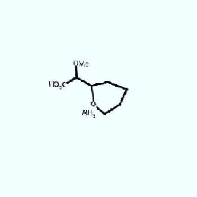 COC(C(=O)O)C1CCCCO1.[AlH3]